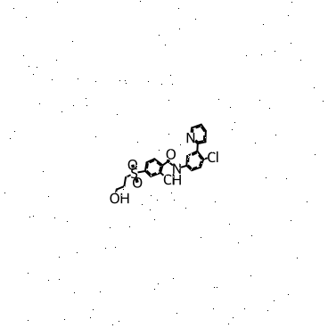 O=C(Nc1ccc(Cl)c(-c2ccccn2)c1)c1ccc(S(=O)(=O)CCCO)cc1Cl